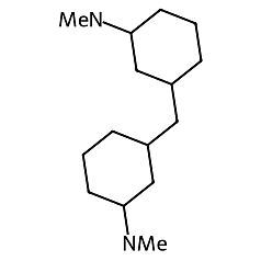 CNC1CCCC(CC2CCCC(NC)C2)C1